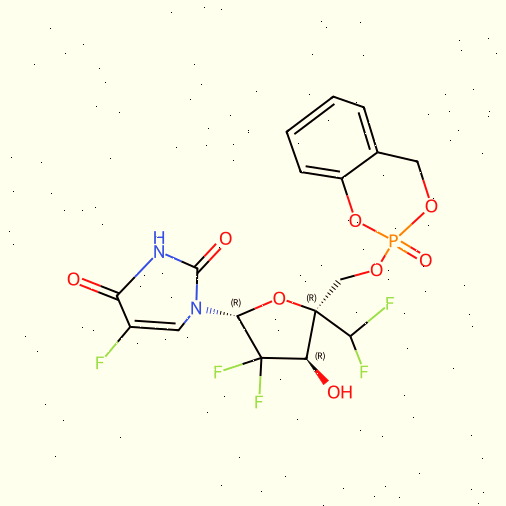 O=c1[nH]c(=O)n([C@@H]2O[C@@](COP3(=O)OCc4ccccc4O3)(C(F)F)[C@@H](O)C2(F)F)cc1F